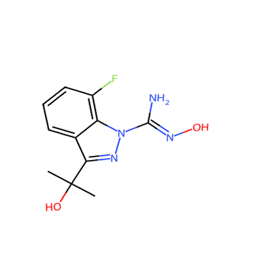 CC(C)(O)c1nn(/C(N)=N/O)c2c(F)cccc12